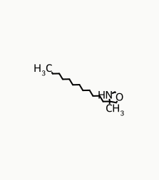 CCCCCCCCCCCCC1(C)COCN1